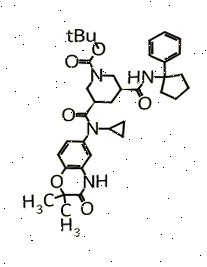 CC(C)(C)OC(=O)N1C[C@@H](C(=O)NC2(c3ccccc3)CCCC2)C[C@@H](C(=O)N(c2ccc3c(c2)NC(=O)C(C)(C)O3)C2CC2)C1